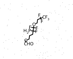 O=COCCCC(F)(P)C(F)(F)OCCC(F)(F)C(F)(F)F